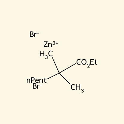 CCCCCC(C)(C)C(=O)OCC.[Br-].[Br-].[Zn+2]